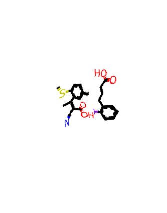 CSc1ccc(C)cc1C(C)=C(C#N)C(=O)O.O=C(O)CCCc1ccccc1I